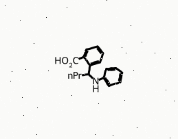 CCCC(Nc1ccccc1)c1ccccc1C(=O)O